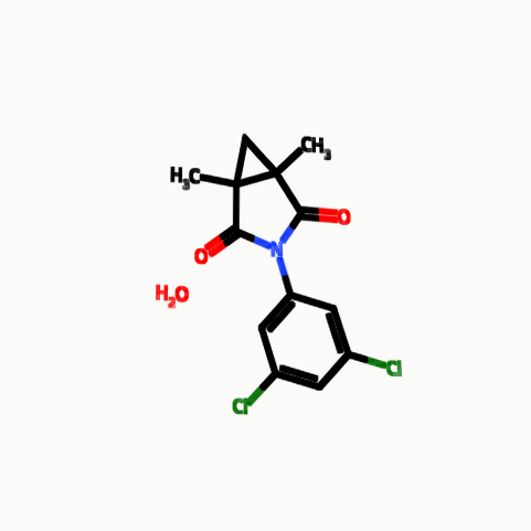 CC12CC1(C)C(=O)N(c1cc(Cl)cc(Cl)c1)C2=O.O